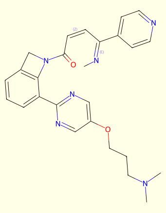 C/N=C(\C=C/C(=O)N1Cc2cccc(-c3ncc(OCCCN(C)C)cn3)c21)c1ccncc1